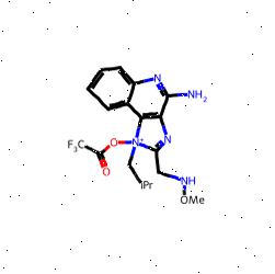 CONCC1=Nc2c(N)nc3ccccc3c2[N+]1(CC(C)C)OC(=O)C(F)(F)F